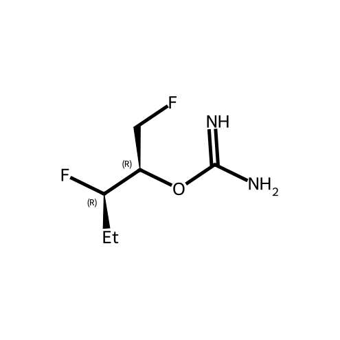 CC[C@@H](F)[C@@H](CF)OC(=N)N